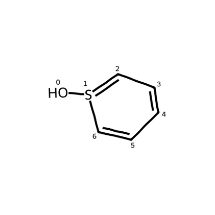 OS1=CC=CC=C1